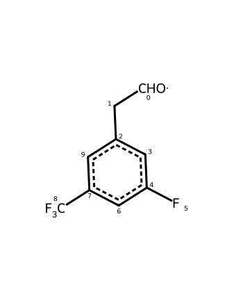 O=[C]Cc1cc(F)cc(C(F)(F)F)c1